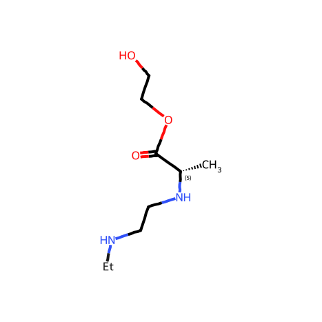 CCNCCN[C@@H](C)C(=O)OCCO